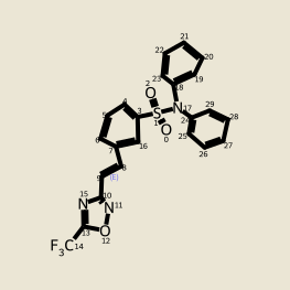 O=S(=O)(c1cccc(/C=C/c2noc(C(F)(F)F)n2)c1)N(c1ccccc1)c1ccccc1